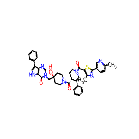 Cc1ccc(-c2nc(C)c(C(=O)N3CC[C@@H](C(=O)N4CCC(O)(Cn5cnc6c(-c7ccccc7)c[nH]c6c5=O)CC4)[C@H](c4ccccc4)C3)s2)cn1